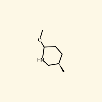 COC1CC[C@@H](C)CN1